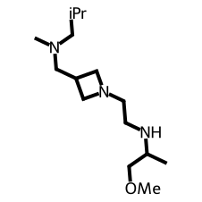 COCC(C)NCCN1CC(CN(C)CC(C)C)C1